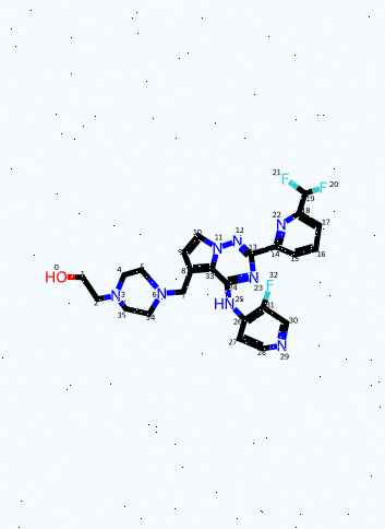 OCCN1CCN(Cc2ccn3nc(-c4cccc(C(F)F)n4)nc(Nc4ccncc4F)c23)CC1